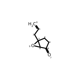 C=CCC12CCC(=O)C1O2